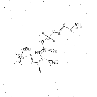 C[C@@H](/C=C/[Si](C)(C)C(C)(C)C)[C@@H](C=O)NC(=O)OC(C)(C)C/C=C/CN